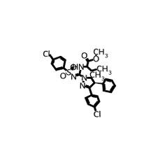 COC(=O)C(N/C(=N\S(=O)(=O)c1ccc(Cl)cc1)N1C[C@@H](c2ccccc2)C(c2ccc(Cl)cc2)=N1)C(C)C